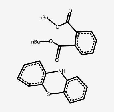 CCCCOC(=O)c1ccccc1C(=O)OCCCC.c1ccc2c(c1)Nc1ccccc1S2